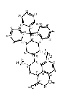 Cc1ccc2c(c1)N(C[C@H](C)CN1CCC(C(c3ccccc3)(c3ccccc3)c3ccccc3)CC1)C(=O)CO2